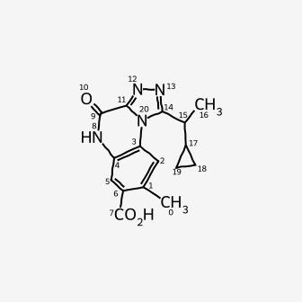 Cc1cc2c(cc1C(=O)O)[nH]c(=O)c1nnc(C(C)C3CC3)n12